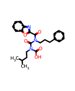 CC(C)CCN(C(=O)O)C(=O)N(CCCc1ccccc1)C(=O)c1nc2ccccc2o1